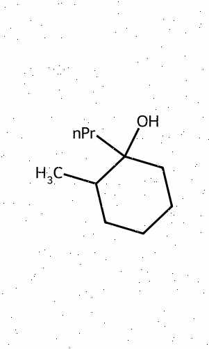 CCCC1(O)CCCCC1C